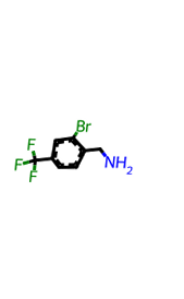 NCc1ccc(C(F)(F)F)cc1Br